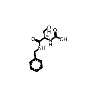 O=C(O)N[C@H](CO)C(=O)NCc1ccccc1